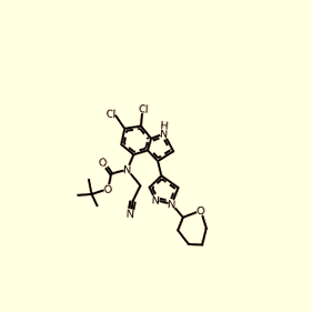 CC(C)(C)OC(=O)N(CC#N)c1cc(Cl)c(Cl)c2[nH]cc(-c3cnn(C4CCCCO4)c3)c12